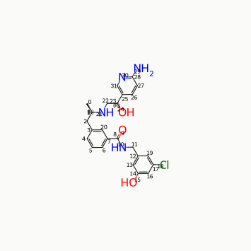 C[C@H](Cc1cccc(C(=O)NCc2cc(O)cc(Cl)c2)c1)NC[C@H](O)c1ccc(N)nc1